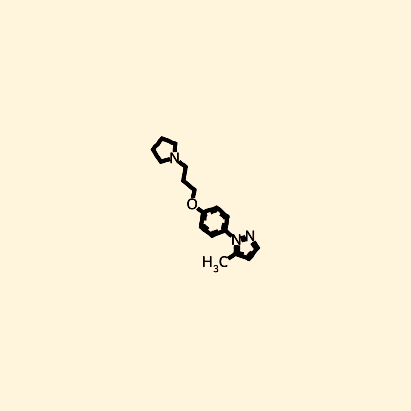 Cc1ccnn1-c1ccc(OCCCN2CCCC2)cc1